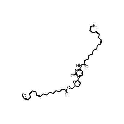 CC/C=C\C/C=C\C/C=C\CCCCCCCC(=O)Nc1ccn(C2CC[C@@H](COC(=O)CCCCCCC/C=C\C/C=C\C/C=C\CC)O2)c(=O)n1